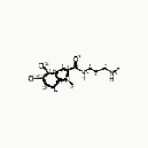 CNCCCNC(=O)c1cc2c(Cl)c(Cl)ccc2n1C